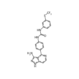 Nc1n[nH]c2ccnc(-c3ccc(NC(=O)Nc4cccc(SC(F)(F)F)c4)cc3)c12